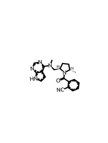 C[C@H]1CC[C@H](CN(C)c2ncnc3[nH]ccc23)N1C(=O)c1ccccc1C#N